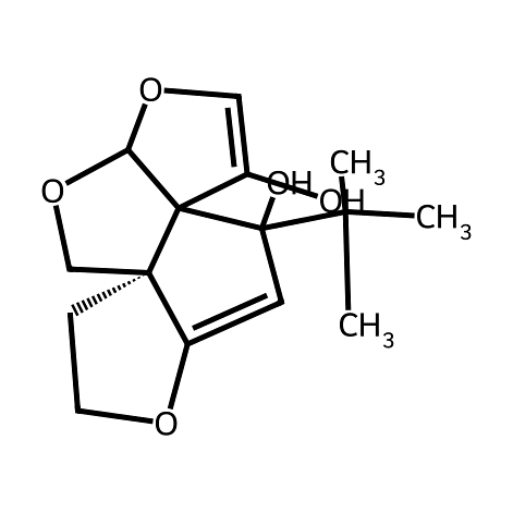 CC(C)(C)C1(O)C=C2OCC[C@@]23COC2OC=C(O)C213